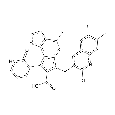 Cc1cc2cc(Cn3c(C(=O)O)c(-c4ccc[nH]c4=O)c4c5occc5c(F)cc43)c(Cl)nc2cc1C